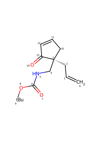 C=CC[C@@]1(CNC(=O)OC(C)(C)C)CC=CC1=O